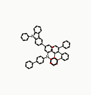 c1ccc(-c2ccc(N(c3cccc(-c4ccc5c(c4)c4ccccc4n5-c4ccccc4)c3)c3ccccc3-c3cccc(-c4ccccc4)c3-c3ccccc3-c3ccccc3)cc2)cc1